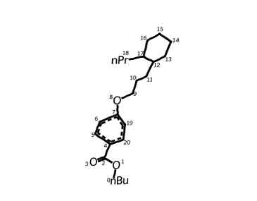 CCCCOC(=O)c1ccc(OCCCC2CCCCC2CCC)cc1